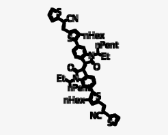 CCCCCCc1cc(/C=C(\C#N)c2cccs2)sc1-c1ccc2c(c1)N(C(CC)CCCCC)C(=O)/C2=C1/C(=O)N(C(CC)CCCCC)c2cc(-c3sc(/C=C(\C#N)c4cccs4)cc3CCCCCC)ccc21